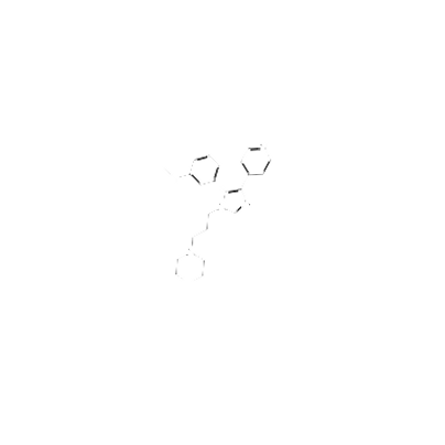 CSc1cccc(-c2c(-c3ccncc3)ncn2CCCN2CCOCC2)c1